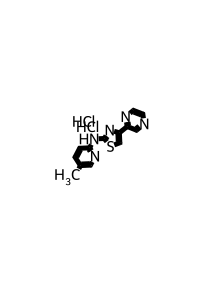 Cc1ccc(Nc2nc(-c3cnccn3)cs2)nc1.Cl.Cl